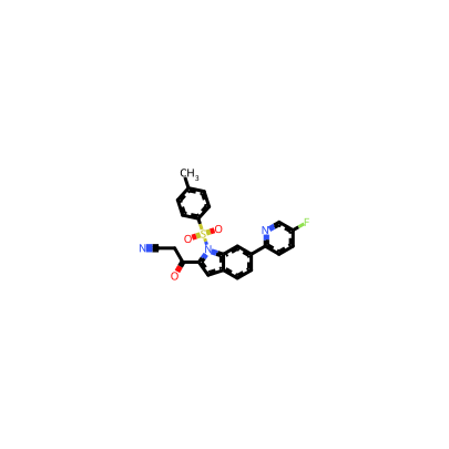 Cc1ccc(S(=O)(=O)n2c(C(=O)CC#N)cc3ccc(-c4ccc(F)cn4)cc32)cc1